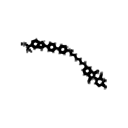 CN(C)c1ccc2nc(-c3ccc(-c4ccc(NCCOCCOc5ccc6c(c5)C(=O)N(C5CCC(=O)NC5=O)C6=O)nc4)cc3)sc2c1